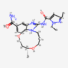 CCn1nc(C)cc1C(=O)Nc1nc2cc(C(N)=O)cc3c2n1CCCO[C@H](C)CCO3